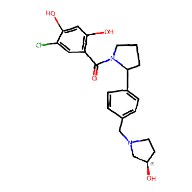 O=C(c1cc(Cl)c(O)cc1O)N1CCCC1c1ccc(CN2CC[C@@H](O)C2)cc1